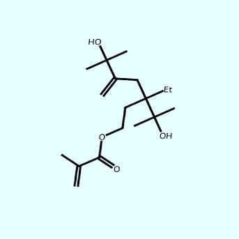 C=C(C)C(=O)OCCC(CC)(CC(=C)C(C)(C)O)C(C)(C)O